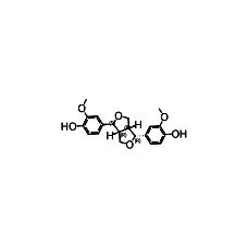 COc1cc([C@H]2OC[C@H]3[C@@H]2CO[C@H]3c2ccc(O)c(OC)c2)ccc1O